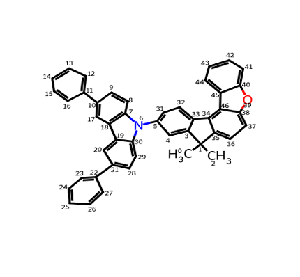 CC1(C)c2cc(-n3c4ccc(-c5ccccc5)cc4c4cc(-c5ccccc5)ccc43)ccc2-c2c1ccc1oc3ccccc3c21